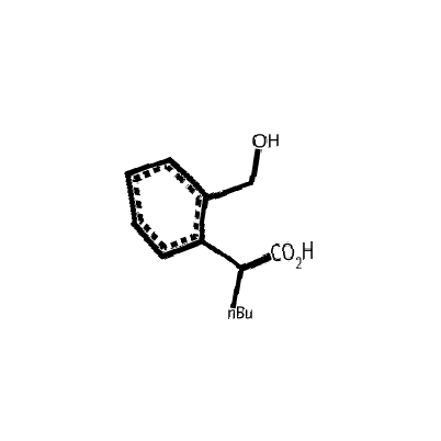 CCCCC(C(=O)O)c1ccccc1CO